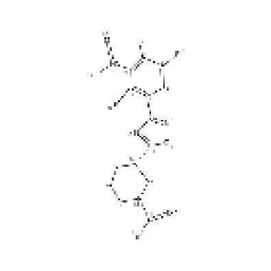 Cc1c(F)cc(-c2noc([C@H]3CCCN(C(=O)O)C3)n2)c(F)c1[N+](=O)[O-]